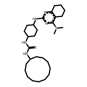 CN(C)c1nc(NC2CCC(NC(=S)NC3CCCCCCCCCCC3)CC2)nc2c1CCCC2